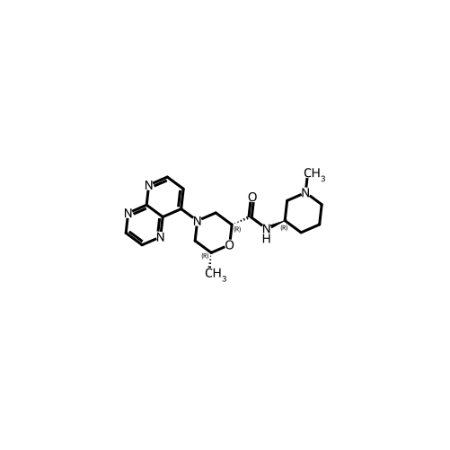 C[C@@H]1CN(c2ccnc3nccnc23)C[C@H](C(=O)N[C@@H]2CCCN(C)C2)O1